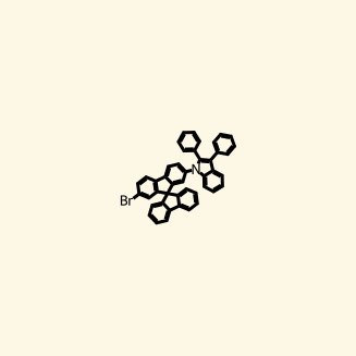 Brc1ccc2c(c1)C1(c3ccccc3-c3ccccc31)c1cc(-n3c(-c4ccccc4)c(-c4ccccc4)c4ccccc43)ccc1-2